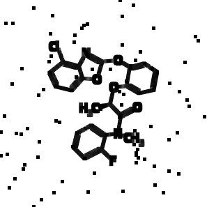 C[C@@H](Oc1ccccc1Oc1nc2c(Cl)cccc2o1)C(=O)N(C)c1ccccc1F